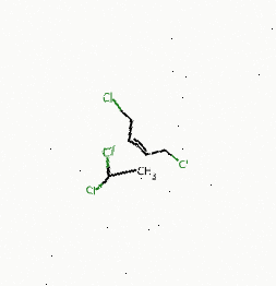 CC(Cl)Cl.ClC/C=C\CCl